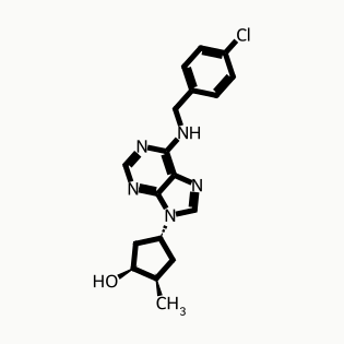 C[C@@H]1C[C@@H](n2cnc3c(NCc4ccc(Cl)cc4)ncnc32)C[C@@H]1O